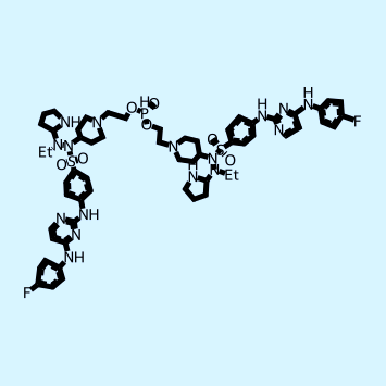 CCN(C1CCCN1)N(C1CCN(CCO[PH](=O)OCCN2CCC(N(N(CC)C3CCCN3)S(=O)(=O)c3ccc(Nc4nccc(Nc5ccc(F)cc5)n4)cc3)CC2)CC1)S(=O)(=O)c1ccc(Nc2nccc(Nc3ccc(F)cc3)n2)cc1